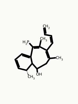 C=C\C=C/C1=C(\C)CC(O)C2C(=CC=C[C@H]2C)/C(P)=C\1C